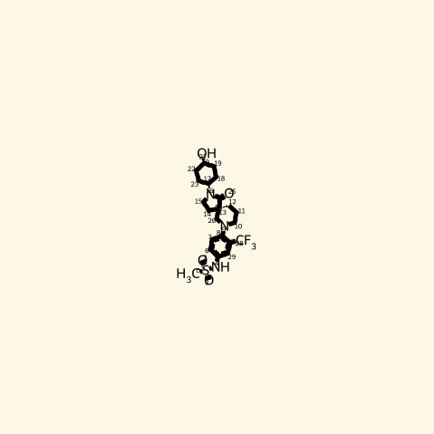 CS(=O)(=O)Nc1ccc(N2CCC[C@@]3(CCN([C@H]4CC[C@H](O)CC4)C3=O)C2)c(C(F)(F)F)c1